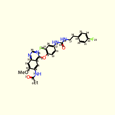 CCC(=O)Nc1cc2c(Oc3ccc(NC(=O)NCCc4ccc(F)cc4)cc3F)ncnc2cc1OC